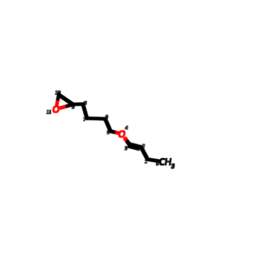 CCC=COCCCCC1CO1